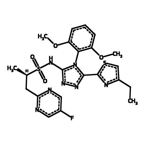 CCc1csc(-c2nnc(NS(=O)(=O)[C@H](C)Cc3ncc(F)cn3)n2-c2c(OC)cccc2OC)n1